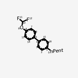 CCCCCc1ccc(-c2ccc(OC(F)F)cc2)cc1